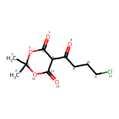 CC1(C)OC(=O)C(C(=O)CCCCl)C(=O)O1